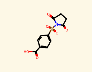 O=C(O)c1ccc(S(=O)(=O)N2C(=O)CCC2=O)cc1